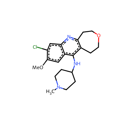 COc1cc2c(NC3CCN(C)CC3)c3c(nc2cc1Cl)CCOCC3